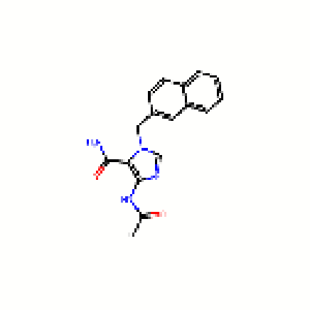 CCC(=O)Nc1ncn(Cc2ccc3ccccc3c2)c1C(N)=O